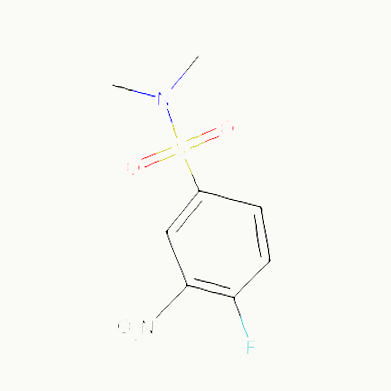 CN(C)S(=O)(=O)c1ccc(F)c([N+](=O)[O-])c1